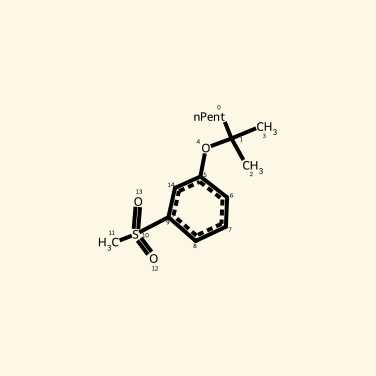 CCCCCC(C)(C)Oc1cccc(S(C)(=O)=O)c1